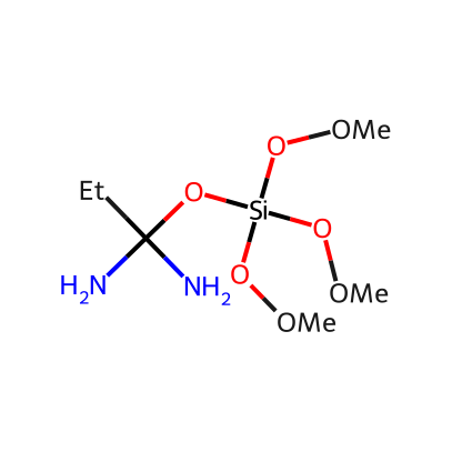 CCC(N)(N)O[Si](OOC)(OOC)OOC